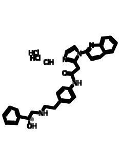 Cl.Cl.Cl.O=C(Cc1nccn1-c1ccc2ccccc2n1)Nc1ccc(CCNC[C@H](O)c2ccccc2)cc1